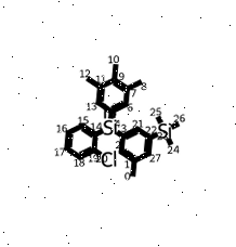 Cc1cc([SiH](c2cc(C)c(C)c(C)c2)c2ccccc2Cl)cc([Si](C)(C)C)c1